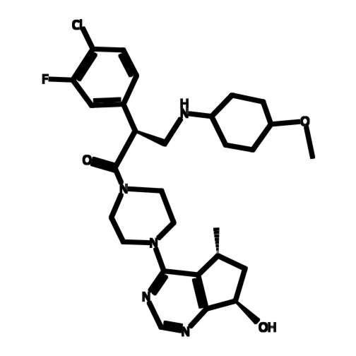 COC1CCC(NC[C@@H](C(=O)N2CCN(c3ncnc4c3[C@H](C)C[C@H]4O)CC2)c2ccc(Cl)c(F)c2)CC1